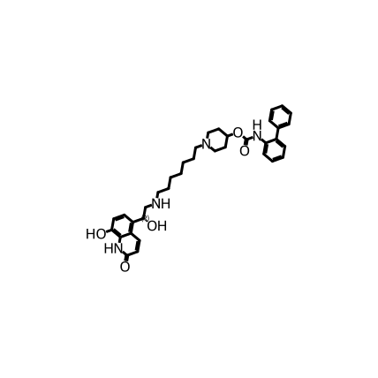 O=C(Nc1ccccc1-c1ccccc1)OC1CCN(CCCCCCCNC[C@H](O)c2ccc(O)c3[nH]c(=O)ccc23)CC1